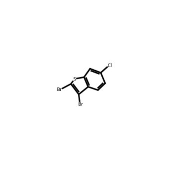 Clc1ccc2c(Br)c(Br)sc2c1